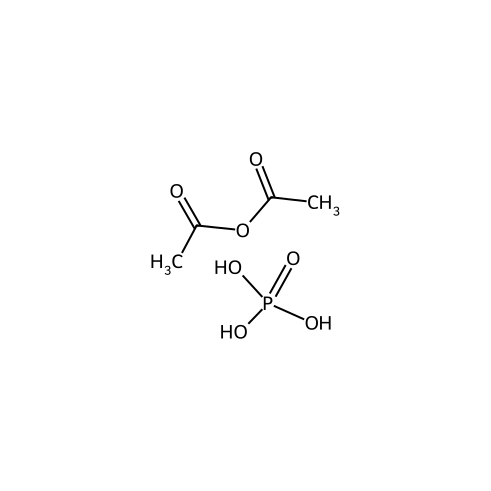 CC(=O)OC(C)=O.O=P(O)(O)O